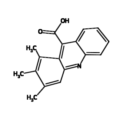 Cc1cc2nc3ccccc3c(C(=O)O)c2c(C)c1C